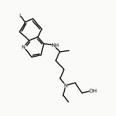 CCN(CCO)CCCC(C)Nc1ccnc2cc(I)ccc12